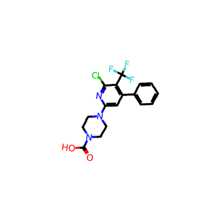 O=C(O)N1CCN(c2cc(-c3ccccc3)c(C(F)(F)F)c(Cl)n2)CC1